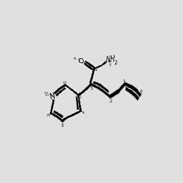 C=CC=C(C(N)=O)c1cccnc1